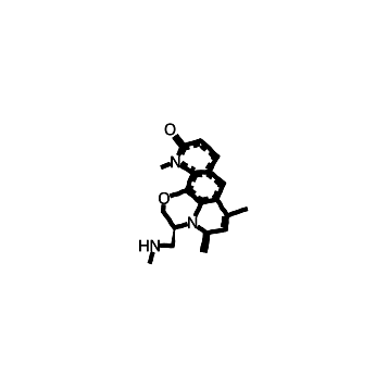 C=C1C=C(C)c2cc3ccc(=O)n(C)c3c3c2N1[C@@H](CNC)CO3